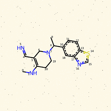 CNC1=C(C=N)CN(C(C)c2ccc3scnc3c2)CC1